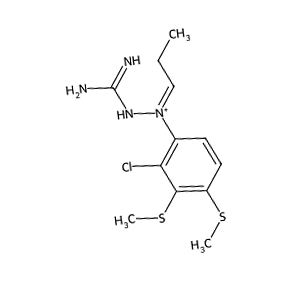 CCC=[N+](NC(=N)N)c1ccc(SC)c(SC)c1Cl